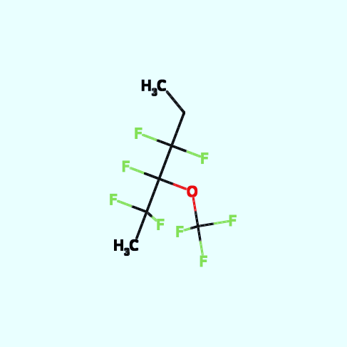 CCC(F)(F)C(F)(OC(F)(F)F)C(C)(F)F